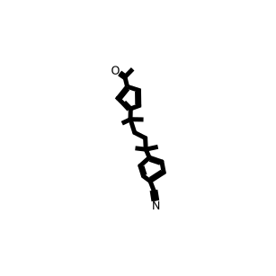 CC(=O)c1ccc(C(C)(C)CCC(C)(C)c2ccc(C#N)cc2)cc1